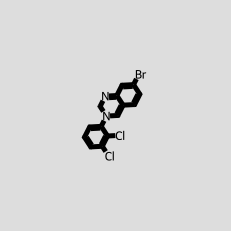 Clc1cccc(N2C=c3ccc(Br)cc3=NC2)c1Cl